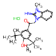 Cl.Cn1c(=N)n(CC(=O)c2cc(C(C)(C)C)c(O)c(C(C)(C)C)c2)c2ccccc21